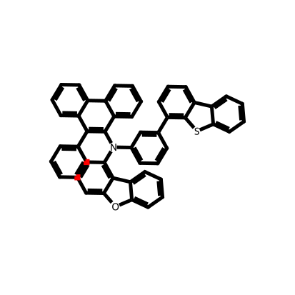 c1ccc(-c2c(N(c3cccc(-c4cccc5c4sc4ccccc45)c3)c3cccc4oc5ccccc5c34)c3ccccc3c3ccccc23)cc1